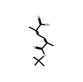 CC(=CC=C(C)C(=O)OC(C)(C)C)C(=O)O